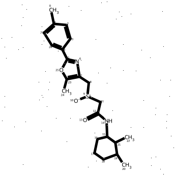 Cc1ccc(-c2nc(C[S+]([O-])CC(=O)NC3CCCC(C)C3C)c(C)o2)cc1